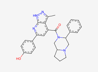 Cc1n[nH]c2nc(-c3ccc(O)cc3)cc(C(=O)N3CC4CCCN4CC3c3ccccc3)c12